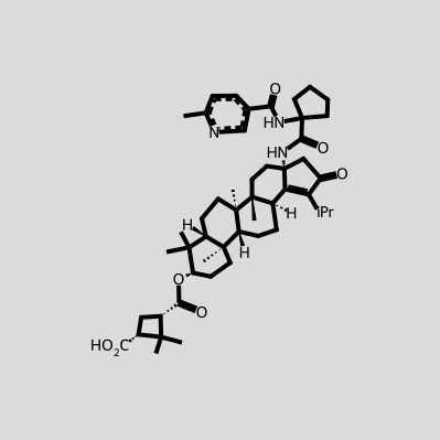 Cc1ccc(C(=O)NC2(C(=O)N[C@@]34CC[C@]5(C)[C@H](CC[C@@H]6[C@@]7(C)CC[C@H](OC(=O)[C@H]8C[C@@H](C(=O)O)C8(C)C)C(C)(C)[C@@H]7CC[C@]65C)C3=C(C(C)C)C(=O)C4)CCCC2)cn1